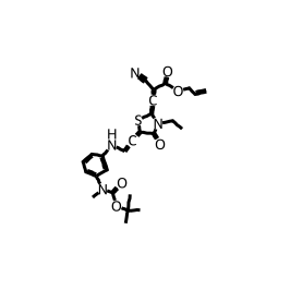 C=CCOC(=O)C(=C=c1sc(=C=CNc2cccc(N(C)C(=O)OC(C)(C)C)c2)c(=O)n1CC)C#N